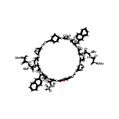 CN[C@@H](C)C(=O)N[C@H](C(=O)N1C[C@@H]2C[C@H]1C(=O)N[C@@H](Cc1ccc3ccccc3c1)C(=O)N[C@H](C(=O)O)Cc1ccc(cc1)OCc1cn(nn1)[C@H]1C[C@@H](C(=O)N[C@@H](Cc3ccc4ccccc4c3)C(=O)N[C@H](C(=O)NS(C)(=O)=O)Cc3ccc(cc3)OCc3cn2nn3)N(C(=O)[C@@H](NC(=O)[C@H](C)NC)C(C)(C)C)C1)C(C)(C)C